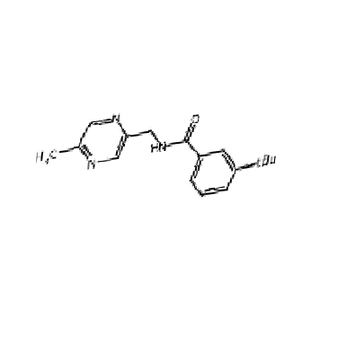 Cc1cnc(CNC(=O)c2cccc(C(C)(C)C)c2)cn1